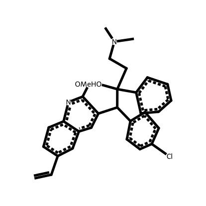 C=Cc1ccc2nc(OC)c(C(c3ccc(Cl)cc3)C(O)(CCN(C)C)c3ccccc3)cc2c1